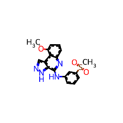 COc1cccc2nc(Nc3cccc(S(C)(=O)=O)c3)c3[nH]ncc3c12